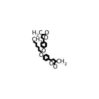 C=C1CC(c2ccc(OC(CCCCCC)Oc3ccc(C4CC(=C)C(=O)O4)cc3)cc2)OC1=O